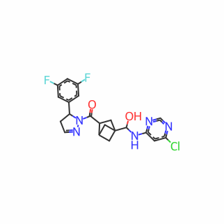 O=C(C1CC2(C(O)Nc3cc(Cl)ncn3)CC1C2)N1N=CCC1c1cc(F)cc(F)c1